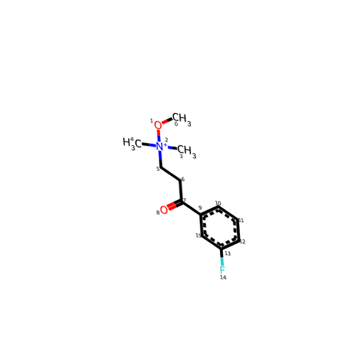 CO[N+](C)(C)CCC(=O)c1cccc(F)c1